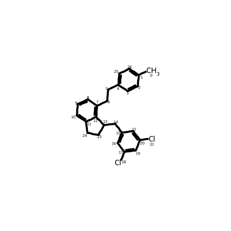 Cc1ccc(CCc2cccc3c2C(Cc2cc(Cl)cc(Cl)c2)CC3)cc1